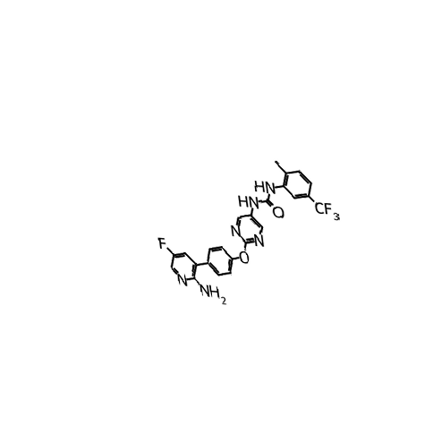 Cc1ccc(C(F)(F)F)cc1NC(=O)Nc1cnc(Oc2ccc(-c3cc(F)cnc3N)cc2)nc1